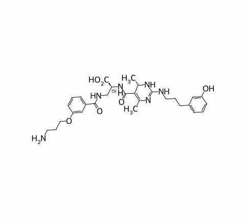 CC1=C(C(=O)N[C@@H](CNC(=O)c2cccc(OCCCN)c2)C(=O)O)C(C)NC(NCCCc2cccc(O)c2)=N1